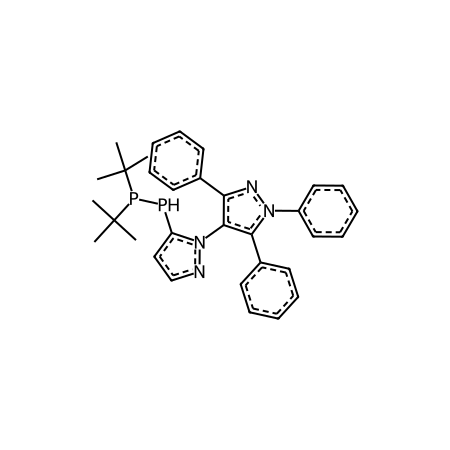 CC(C)(C)P(Pc1ccnn1-c1c(-c2ccccc2)nn(-c2ccccc2)c1-c1ccccc1)C(C)(C)C